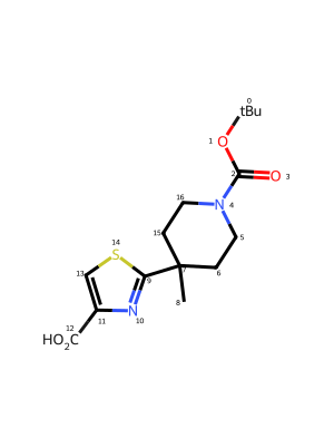 CC(C)(C)OC(=O)N1CCC(C)(c2nc(C(=O)O)cs2)CC1